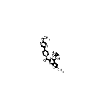 COc1cnc(C2CCN(C(=O)c3nc(NC4(C)CC4)c4cc(C)oc4n3)CC2)cn1